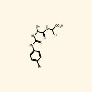 CC[C@H](C)[C@H](NC(=O)Nc1ccc(Br)cc1)C(=O)NC(C(=O)O)C(C)(C)C